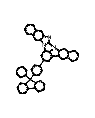 c1ccc(C2(c3ccc(-c4cc5c6cc7ccccc7cc6n6c5c(c4)n4c5cc7ccccc7cc5nc46)cc3)c3ccccc3-c3ccccc32)cc1